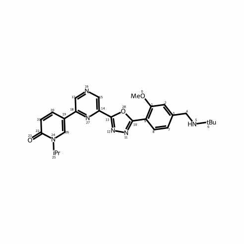 COc1cc(CNC(C)(C)C)ccc1-c1nnc(-c2cncc(-c3ccc(=O)n(C(C)C)c3)n2)o1